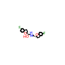 OC(CNCC[C@H]1CCc2cc(F)ccc2O1)[C@@H]1CCc2cc(F)ccc2O1